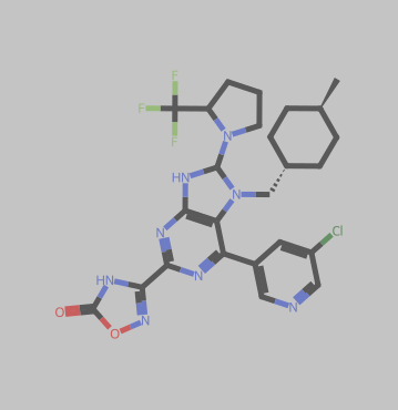 C[C@H]1CC[C@H](CN2c3c(nc(-c4noc(=O)[nH]4)nc3-c3cncc(Cl)c3)NC2N2CCCC2C(F)(F)F)CC1